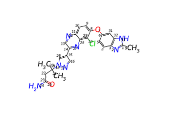 Cc1nc2ccc(Oc3ccc4ncc(-c5cnn(C(C)(C)CC(N)=O)c5)nc4c3Cl)cc2[nH]1